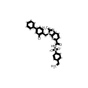 C=Cc1ccc(S(=O)(=O)NC(=O)c2ccc3nc(C)n(Cc4ccc(-c5ccccc5)cc4Cl)c3n2)cc1